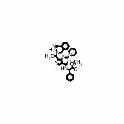 C=C(NC(C(=O)OC)c1ccccc1)c1csc(C(=C)N(C)Cc2ccccc2C#N)c1/N=C/N1CCCCC1